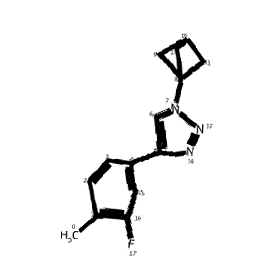 Cc1ccc(-c2cn(C34CC(C3)C4)nn2)cc1F